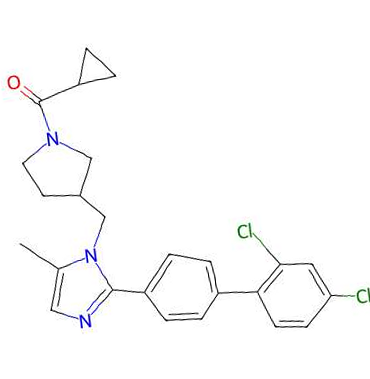 Cc1cnc(-c2ccc(-c3ccc(Cl)cc3Cl)cc2)n1CC1CCN(C(=O)C2CC2)C1